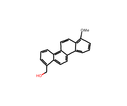 COc1cccc2c1ccc1c3cccc(CO)c3ccc21